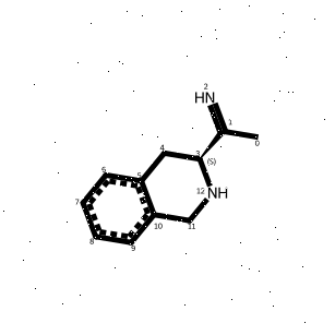 CC(=N)[C@@H]1Cc2ccccc2CN1